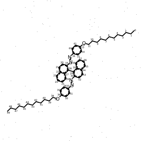 CCCCCCCCCCCCOc1ccc(N=Nc2ccc3ccccc3c2-c2c(N=Nc3ccc(OCCCCCCCCCCCC)cc3)ccc3ccccc23)cc1